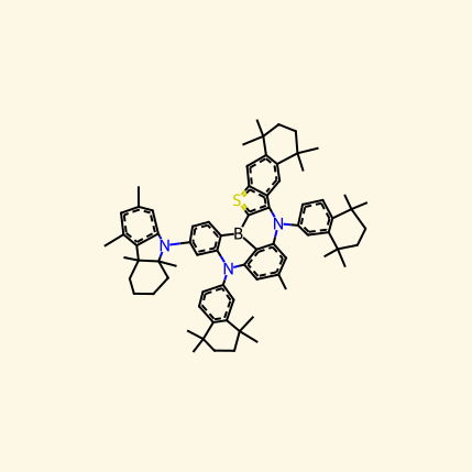 Cc1cc2c3c(c1)N(c1ccc4c(c1)C(C)(C)CCC4(C)C)c1c(sc4cc5c(cc14)C(C)(C)CCC5(C)C)B3c1ccc(N3c4cc(C)cc(C)c4C4(C)CCCCC34C)cc1N2c1ccc2c(c1)C(C)(C)CCC2(C)C